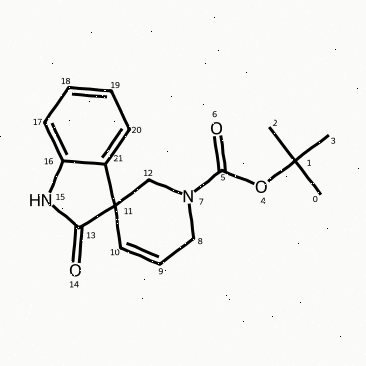 CC(C)(C)OC(=O)N1CC=CC2(C1)C(=O)Nc1ccccc12